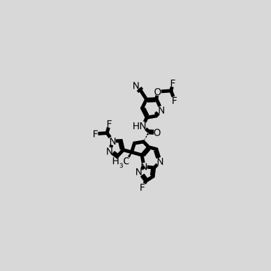 C[C@@]1(c2cnn(C(F)F)c2)C[C@H](C(=O)Nc2cnc(OC(F)F)c(C#N)c2)c2cnc3cc(F)nn3c21